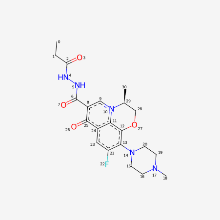 CCC(=O)NNC(=O)c1cn2c3c(c(N4CCN(C)CC4)c(F)cc3c1=O)OC[C@@H]2C